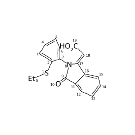 CCSc1ccccc1N1C(=O)c2ccccc2C1=CC(=O)O